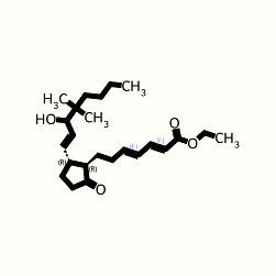 CCCCC(C)(C)C(O)C=C[C@H]1CCC(=O)[C@@H]1CC/C=C/C=C/C(=O)OCC